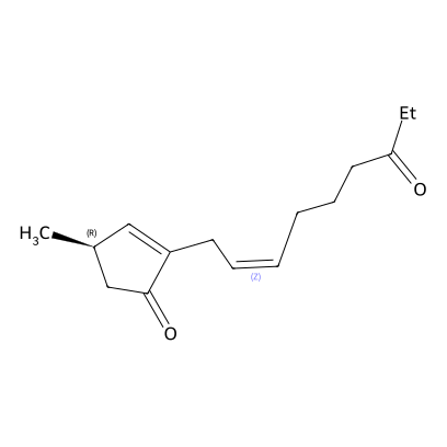 CCC(=O)CCC/C=C\CC1=C[C@H](C)CC1=O